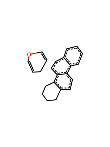 C1=COC=CC1.c1ccc2c(c1)ccc1c3c(ccc12)CCCC3